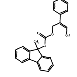 CC1(OC(=O)OCC(=CO)c2ccccc2)c2ccccc2-c2ccccc21